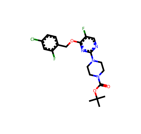 CC(C)(C)OC(=O)N1CCN(c2ncc(F)c(OCc3ccc(Cl)cc3F)n2)CC1